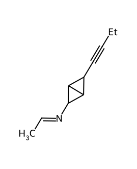 C/C=N/C1C2C(C#CCC)C12